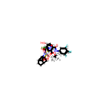 CC(C)(C)OC(=O)N1CC[C@@H](O)[C@H]1C(=O)NCC1(O)C2CCC1CC(S(=O)(=O)c1cc(C(=O)Nc3cc(F)c(F)c(F)c3)ccc1Cl)C2